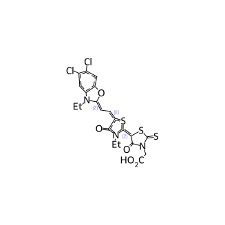 CCN1/C(=C/C=c2/s/c(=C3\SC(=S)N(CC(=O)O)C3=O)n(CC)c2=O)Oc2cc(Cl)c(Cl)cc21